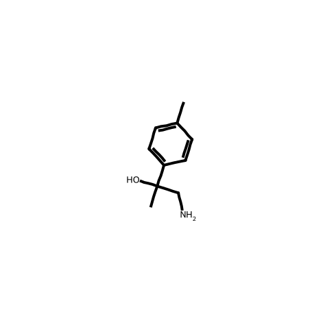 Cc1ccc(C(C)(O)CN)cc1